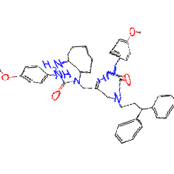 C=C(CN(CCC(c1ccccc1)c1ccccc1)C(=O)Nc1ccc(OC)cc1)CN(C(=O)Nc1ccc(OC)cc1)[C@@H]1CCCC[C@@H]1N